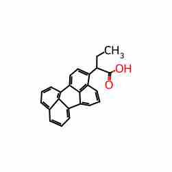 CCC(C(=O)O)c1ccc2c3cccc4cccc(c5cccc1c52)c43